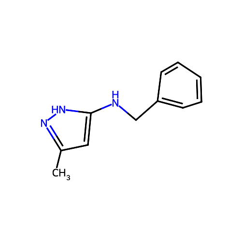 Cc1cc(NCc2ccccc2)[nH]n1